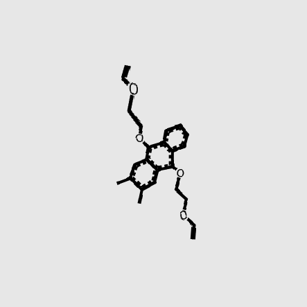 C=COCCOc1c2ccccc2c(OCCOC=C)c2cc(C)c(C)cc12